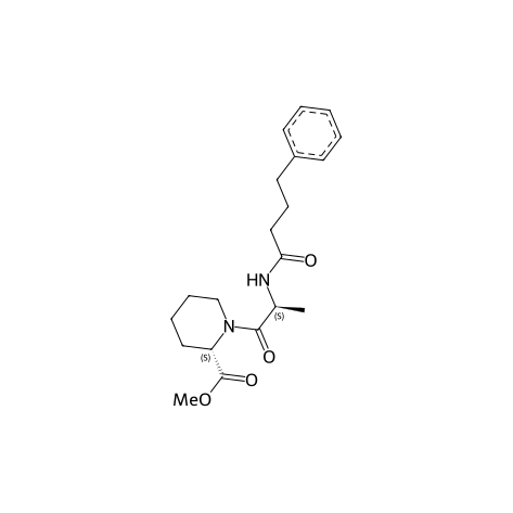 COC(=O)[C@@H]1CCCCN1C(=O)[C@H](C)NC(=O)CCCc1ccccc1